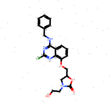 O=C1OC(COc2cccc3c(NCc4ccccc4)nc(Cl)nc23)CN1CCO